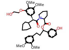 COc1ccc(CCC(OC(=O)C2CCCCN2C(=O)[C@H](c2cc(OC)c(OC)c(OCCO)c2)C2CCCCC2)c2cccc(O)c2)cc1OC